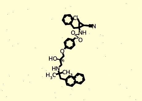 CC(C)(Cc1ccc2ccccc2c1)NC[C@@H](O)COc1ccc(S(=O)(=O)NC2(Cc3ccccc3)C(Cl)C2C#N)cc1